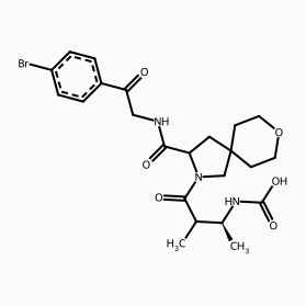 CC(C(=O)N1CC2(CCOCC2)CC1C(=O)NCC(=O)c1ccc(Br)cc1)[C@H](C)NC(=O)O